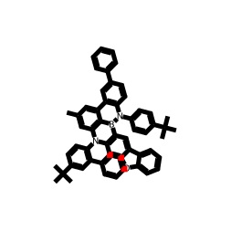 Cc1cc2c3c(c1)N(c1ccc(C(C)(C)C)cc1-c1ccccc1)c1cc4oc5ccccc5c4cc1B3N(c1ccc(C(C)(C)C)cc1)c1ccc(-c3ccccc3)cc1-2